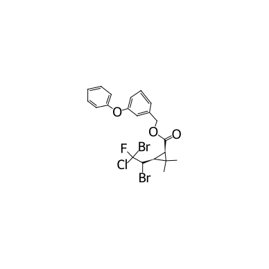 CC1(C)[C@H](C(=O)OCc2cccc(Oc3ccccc3)c2)[C@@H]1C(Br)C(F)(Cl)Br